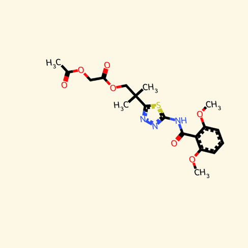 COc1cccc(OC)c1C(=O)Nc1nnc(C(C)(C)COC(=O)COC(C)=O)s1